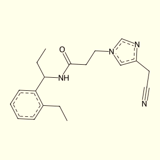 CCc1ccccc1C(CC)NC(=O)CCn1cnc(CC#N)c1